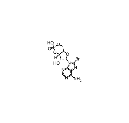 Nc1ncnc2c1nc(Br)n2[C@@H]1OC2COP(=O)(O)O[C@H]2[C@H]1O